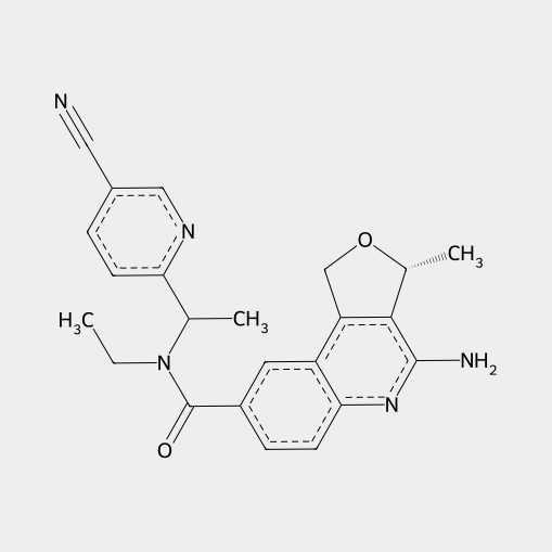 CCN(C(=O)c1ccc2nc(N)c3c(c2c1)CO[C@@H]3C)C(C)c1ccc(C#N)cn1